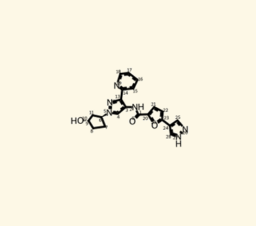 O=C(Nc1cn([C@H]2CC[C@H](O)C2)nc1-c1ccccn1)c1ccc(-c2cn[nH]c2)o1